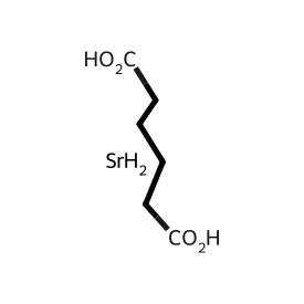 O=C(O)CCCCC(=O)O.[SrH2]